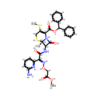 CCSC1=C(C(=O)OC(c2ccccc2)c2ccccc2)N2C(=O)C(NC(=O)C(=NOCC(=O)OC(C)(C)C)c3cccc(N)n3)[C@@H]2SC1